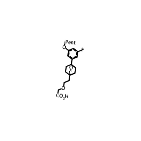 CCCC(C)Oc1cc(F)cc(C23CCC(CCOCC(=O)O)(CC2)CO3)c1